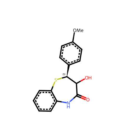 COc1ccc([C@@H]2Sc3ccccc3NC(=O)C2O)cc1